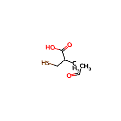 CC(CS)C(=O)O.CC=O